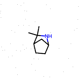 CC1(C)NC2CCC1C2